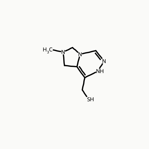 CN1CC2=C(CS)NN=CN2C1